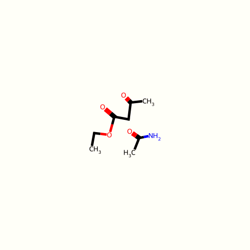 CC(N)=O.CCOC(=O)CC(C)=O